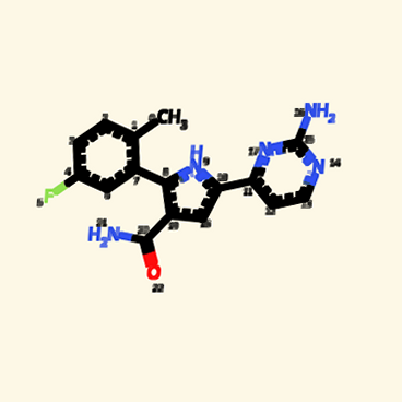 Cc1ccc(F)cc1-c1[nH]c(-c2ccnc(N)n2)cc1C(N)=O